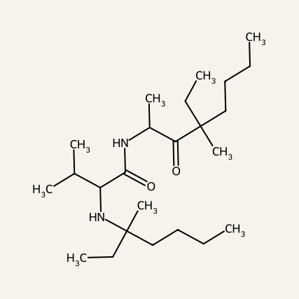 CCCCC(C)(CC)NC(C(=O)NC(C)C(=O)C(C)(CC)CCCC)C(C)C